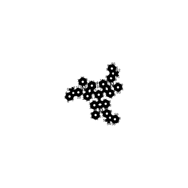 CC1(C)c2ccccc2-c2ccc(N(c3ccccc3)c3c4ccccc4c(-c4cc(-c5c6ccccc6c(N(c6ccccc6)c6ccc7c(c6)C(C)(C)c6ccccc6-7)c6ccccc56)cc(-c5c6ccccc6c(N(c6ccccc6)c6ccc7c(c6)C(C)(C)c6ccccc6-7)c6ccccc56)c4)c4ccccc34)cc21